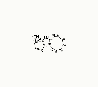 C[n+]1cccc2c3c(oc21)CCCCCCC3